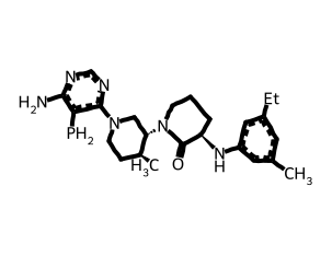 CCc1cc(C)cc(N[C@@H]2CCCN([C@H]3CN(c4ncnc(N)c4P)CC[C@@H]3C)C2=O)c1